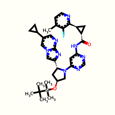 Cc1ccnc([C@H]2C[C@@H]2C(=O)Nc2cc(N3C[C@@H](O[Si](C)(C)C(C)(C)C)C[C@@H]3c3cn4cc(C5CC5)cnc4n3)ncn2)c1F